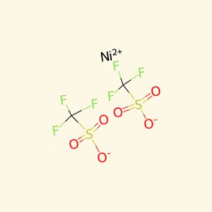 O=S(=O)([O-])C(F)(F)F.O=S(=O)([O-])C(F)(F)F.[Ni+2]